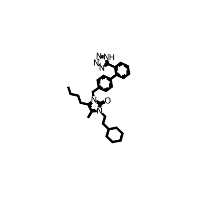 CCCCc1c(C)n(CCC2CCCCC2)c(=O)n1Cc1ccc(-c2ccccc2-c2nnn[nH]2)cc1